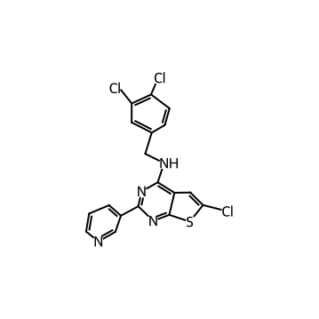 Clc1cc2c(NCc3ccc(Cl)c(Cl)c3)nc(-c3cccnc3)nc2s1